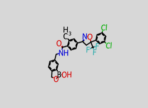 Cc1cc(C2=NOC(c3cc(Cl)cc(Cl)c3)(C(F)(F)F)C2)ccc1C(=O)NCc1ccc2c(c1)B(O)OC2